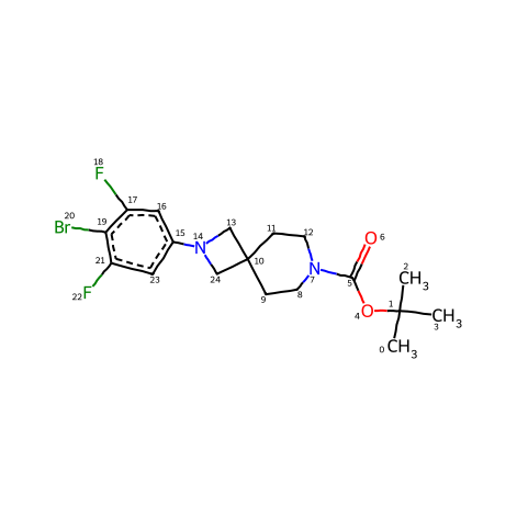 CC(C)(C)OC(=O)N1CCC2(CC1)CN(c1cc(F)c(Br)c(F)c1)C2